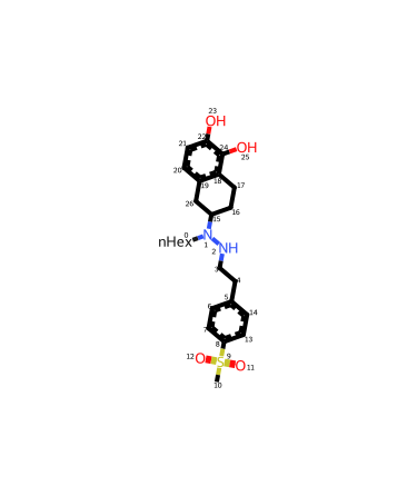 CCCCCCN(NCCc1ccc(S(C)(=O)=O)cc1)C1CCc2c(ccc(O)c2O)C1